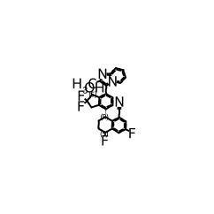 Cc1nc2ccccn2c1-c1ccc([C@H]2CC[C@H](F)c3cc(F)cc(C#N)c32)c2c1[C@H](O)C(F)(F)C2